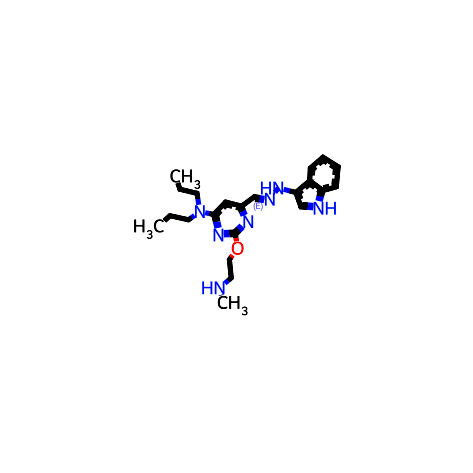 CCCN(CCC)c1cc(/C=N/Nc2c[nH]c3ccccc23)nc(OCCNC)n1